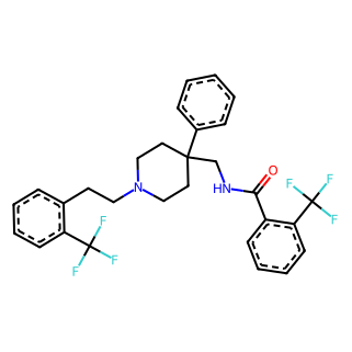 O=C(NCC1(c2ccccc2)CCN(CCc2ccccc2C(F)(F)F)CC1)c1ccccc1C(F)(F)F